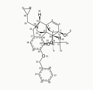 CO[C@]12C=C[C@@]3(CC1[C@](C)(O)C(C)(C)C)[C@H]1Cc4ccc(OCc5ccccc5)c5c4[C@@]3(CCN1CC1CC1)[C@H]2O5